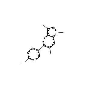 CCCn1cc(C)c2nc(-c3ccc(C(C)C)nc3)c(C)cc21